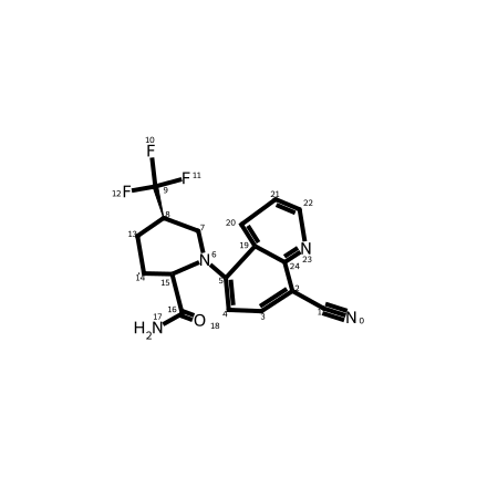 N#Cc1ccc(N2C[C@H](C(F)(F)F)C[CH]C2C(N)=O)c2cccnc12